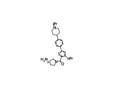 CCCc1cc(-c2ccc(C3CCN(C(C)C)CC3)cc2)sc1C(=O)N1CC[C@H](N)C1